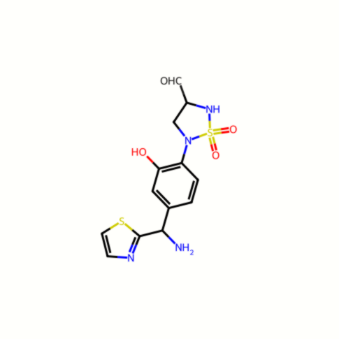 NC(c1ccc(N2CC(C=O)NS2(=O)=O)c(O)c1)c1nccs1